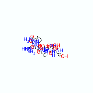 C=C1/C=C\C=C/CN/C=C\1C[C@H](NC(=O)[C@H](CCCNC(=N)N)NC(=O)[C@H](CC1CC1)NC(=O)CNC(=O)[C@H](CC1CCCCC1)NC(=O)[C@@H](NC(=O)[C@H](CC(N)=O)NC(=O)[C@H](CCC(=O)O)NC(=O)[C@@H](Cc1ccc(O)cc1)NC(C)=O)[C@@H](C)O)C(N)=O